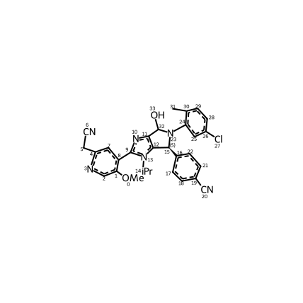 COc1cnc(CC#N)cc1-c1nc2c(n1C(C)C)[C@H](c1ccc(C#N)cc1)N(c1cc(Cl)ccc1C)C2O